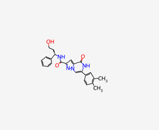 Cc1ccc(-c2cn3nc(C(=O)N[C@H](CCO)c4ccccc4)cc3c(=O)[nH]2)cc1C